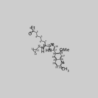 CCC(=O)CCCCC[C@H](NCC1CC1)c1ncc(-c2cc3ccc(C)nc3cc2OC)[nH]1